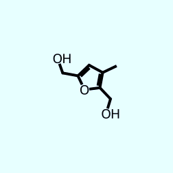 Cc1cc(CO)oc1CO